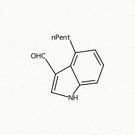 CCCCCc1cccc2[nH]cc(C=O)c12